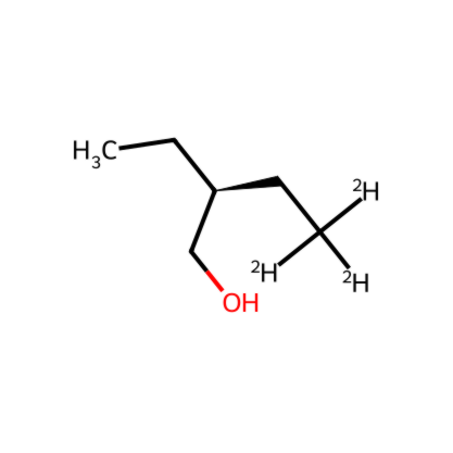 [2H]C([2H])([2H])C[C@H](CC)CO